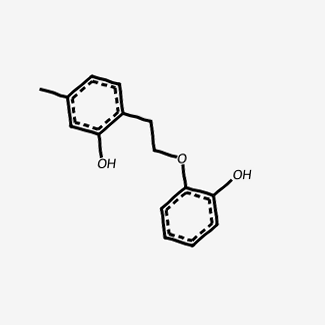 Cc1ccc(CCOc2ccccc2O)c(O)c1